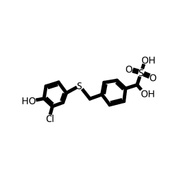 O=S(=O)(O)C(O)c1ccc(CSc2ccc(O)c(Cl)c2)cc1